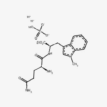 CCOC(=O)[C@@H](Cc1cn(C)c2ccccc12)NC(=O)[C@@H](N)CCC(N)=O.O=P([O-])([O-])O.[H+].[H+]